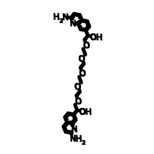 Nc1ccc2ccc(C(O)COCCOCCOCCOCCOCC(O)c3ccc4ccc(N)nc4c3)cc2n1